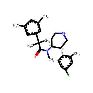 Cc1cc(C)cc(C(C)(C)C(=O)N(C)[C@H]2CCNC[C@@H]2c2ccc(F)cc2C)c1